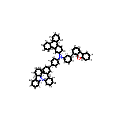 c1cc(-c2ccc(N(c3cccc(-c4cccc5c4oc4ccccc45)c3)c3ccc4c5ccccc5c5ccccc5c4c3)cc2)cc(-c2ccccc2-n2c3ccccc3c3ccccc32)c1